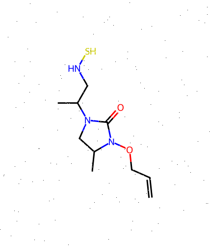 C=CCON1C(=O)N(C(C)CNS)CC1C